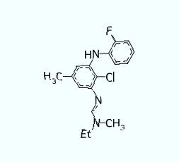 CCN(C)C=Nc1cc(C)cc(Nc2ccccc2F)c1Cl